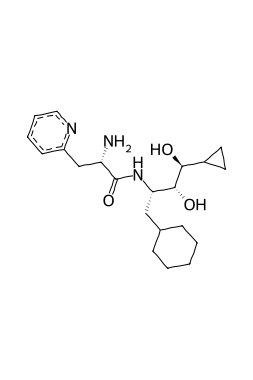 N[C@@H](Cc1ccccn1)C(=O)N[C@@H](CC1CCCCC1)[C@@H](O)[C@@H](O)C1CC1